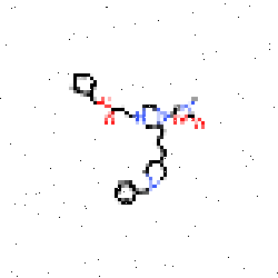 CN1CC(N2CCN(CCC(=O)OCc3ccccc3)CC2CCCC2CCN(Cc3ccccc3)CC2)OC1=O